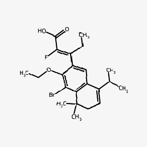 CCOc1c(C(CC)=C(F)C(=O)O)cc2c(c1Br)C(C)(C)CC=C2C(C)C